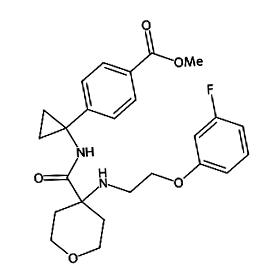 COC(=O)c1ccc(C2(NC(=O)C3(NCCOc4cccc(F)c4)CCOCC3)CC2)cc1